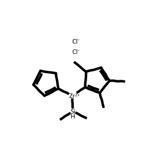 CC1=CC(C)[C]([Zr+2]([C]2=CC=CC2)[SiH](C)C)=C1C.[Cl-].[Cl-]